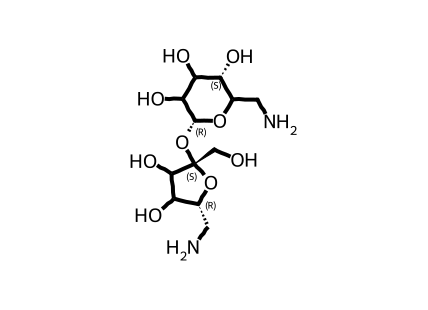 NCC1O[C@H](O[C@]2(CO)O[C@H](CN)C(O)C2O)C(O)C(O)[C@@H]1O